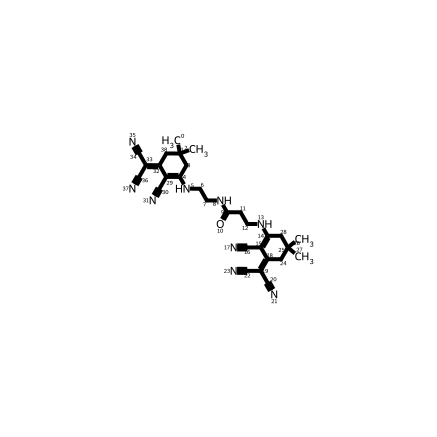 CC1(C)CC(NCCNC(=O)CCNC2=C(C#N)C(=C(C#N)C#N)CC(C)(C)C2)=C(C#N)C(=C(C#N)C#N)C1